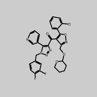 O=C(c1nnn(Cc2ccc(F)c(F)c2)c1-c1cccnc1)c1c(COC2CCCCO2)noc1-c1ccccc1Cl